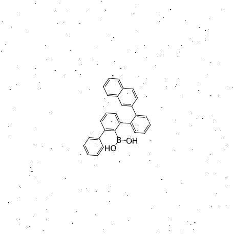 OB(O)c1c(-c2ccccc2)cccc1-c1ccccc1-c1ccc2ccccc2c1